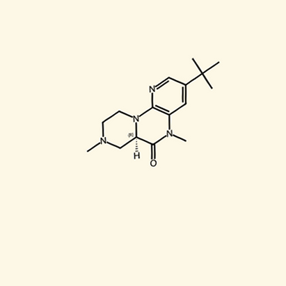 CN1CCN2c3ncc(C(C)(C)C)cc3N(C)C(=O)[C@H]2C1